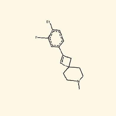 CCc1ccc(C2=CC3(CCN(C)CC3)C2)cc1F